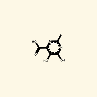 Cc1nc(O)c(O)c(C(=O)O)n1